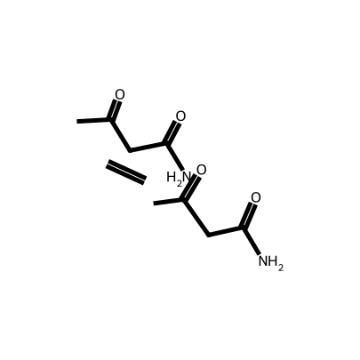 C=C.CC(=O)CC(N)=O.CC(=O)CC(N)=O